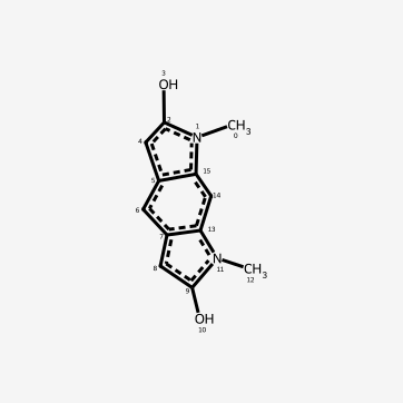 Cn1c(O)cc2cc3cc(O)n(C)c3cc21